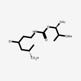 CCC(CCNC(=O)O[C@@H](OC(C)=O)C(C)OC)C[C@H](C)C(=O)O